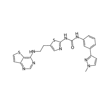 Cn1ccc(-c2cccc(NC(=O)Nc3ncc(CCNc4ncnc5ccsc45)s3)c2)n1